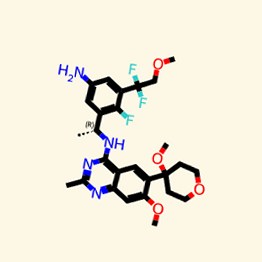 COCC(F)(F)c1cc(N)cc([C@@H](C)Nc2nc(C)nc3cc(OC)c(C4(OC)CCOCC4)cc23)c1F